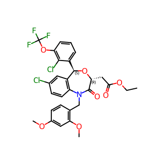 CCOC(=O)C[C@H]1O[C@H](c2cccc(OC(F)(F)F)c2Cl)c2cc(Cl)ccc2N(Cc2ccc(OC)cc2OC)C1=O